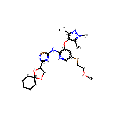 COCCSc1cnc(Nc2nc(C3COC4(CCCCC4)O3)ns2)c(Oc2c(C)nn(C)c2C)c1